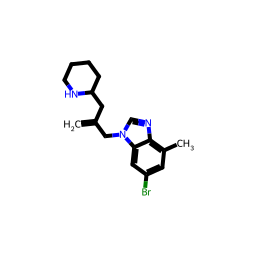 C=C(CC1CCCCN1)Cn1cnc2c(C)cc(Br)cc21